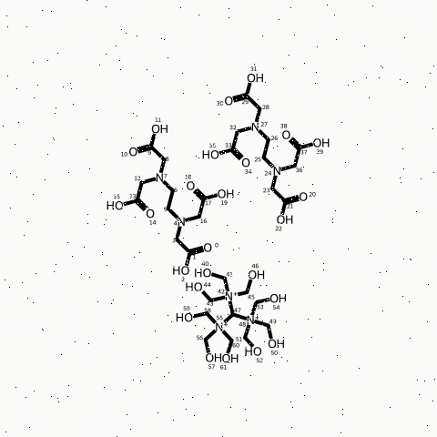 O=C(O)CN(CCN(CC(=O)O)CC(=O)O)CC(=O)O.O=C(O)CN(CCN(CC(=O)O)CC(=O)O)CC(=O)O.OC[N+](CO)(CO)C([N+](CO)(CO)CO)[N+](CO)(CO)CO